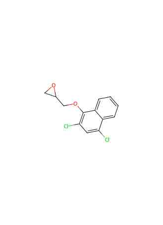 Clc1cc(Cl)c2ccccc2c1OCC1CO1